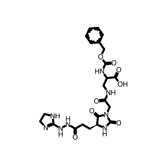 O=C(CN1C(=O)N[C@@H](CCC(=O)NNC2=NCCN2)C1=O)NCC(NC(=O)OCc1ccccc1)C(=O)O